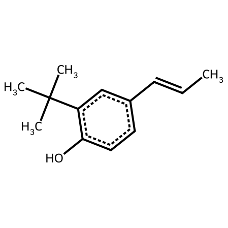 CC=Cc1ccc(O)c(C(C)(C)C)c1